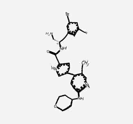 Cc1cnc(NC2CCOCC2)cc1-c1c[nH]c(C(=O)N[C@H](CN)c2cc(F)cc(Br)c2)c1